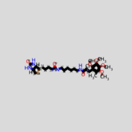 COc1c(C)c(/C=C(\C)C(=O)NCCCCCCNC(=O)CCCC[C@@H]2SC[C@@H]3NC(=O)N[C@@H]32)c(OC)c(OC)c1OC